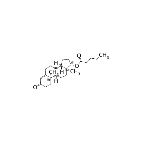 CCCCC(=O)O[C@H]1CC[C@H]2[C@@H]3CCC4=CC(=O)CC[C@]4(C)[C@H]3CC[C@]12C